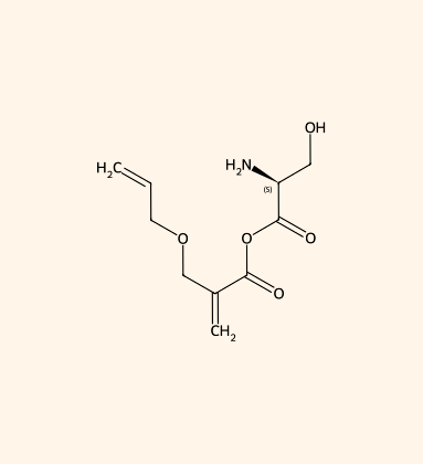 C=CCOCC(=C)C(=O)OC(=O)[C@@H](N)CO